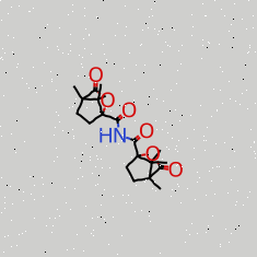 CC12CCC(C(=O)NC(=O)C34CCC(C)(C(=O)O3)C4(C)C)(OC1=O)C2(C)C